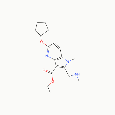 CCOC(=O)c1c(CNC)n(C)c2ccc(OC3CCCC3)nc12